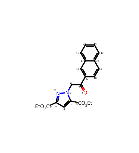 CCOC(=O)c1cc(C(=O)OCC)n(CC(=O)c2ccc3ccccc3c2)n1